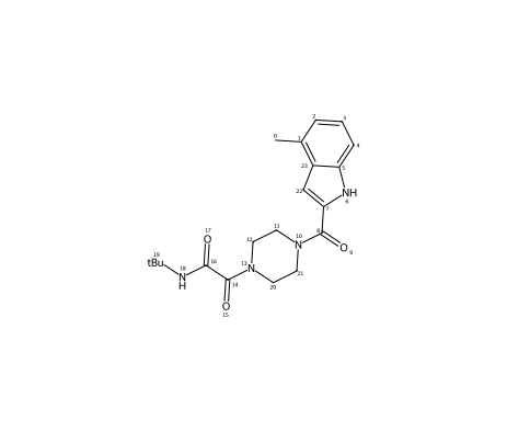 Cc1cccc2[nH]c(C(=O)N3CCN(C(=O)C(=O)NC(C)(C)C)CC3)cc12